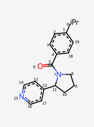 CC(C)c1ccc(C(=O)N2CCCC2c2ccncc2)cc1